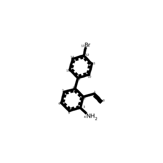 C=Cc1c(N)cccc1-c1ccc(Br)cc1